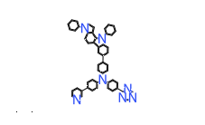 c1ccc(-n2ccc3c2ccc2c4cc(-c5ccc(N(c6ccc(-c7cccnc7)cc6)c6ccc(-c7ncncn7)cc6)cc5)ccc4n(-c4ccccc4)c23)cc1